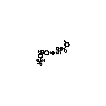 Cc1cccc(C(=O)NCC(=O)NC2CN(C3CCC(O)(c4cccc(NS(C)(=O)=O)c4)CC3)C2)c1